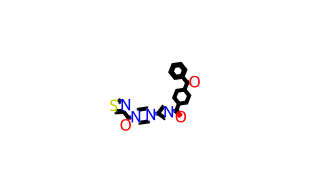 O=C(c1ccccc1)C1CCC(C(=O)N2CC(N3CCN(C(=O)c4cscn4)CC3)C2)CC1